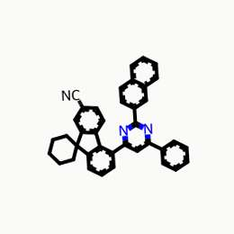 N#Cc1ccc2c(c1)C1(CCCCC1)c1cccc(-c3cc(-c4ccccc4)nc(-c4ccc5ccccc5c4)n3)c1-2